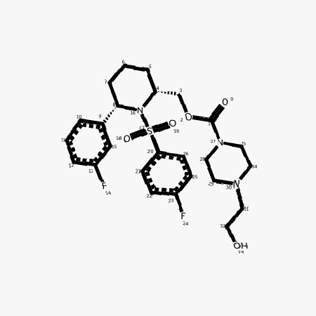 O=C(OC[C@H]1CCC[C@@H](c2cccc(F)c2)N1S(=O)(=O)c1ccc(F)cc1)N1CCN(CCO)CC1